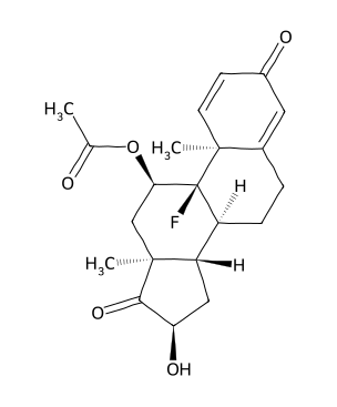 CC(=O)O[C@@H]1C[C@]2(C)C(=O)[C@H](O)C[C@H]2[C@@H]2CCC3=CC(=O)C=C[C@]3(C)[C@@]12F